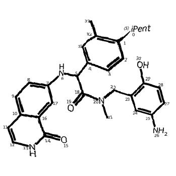 CCC[C@H](C)c1ccc(C(Nc2ccc3cc[nH]c(=O)c3c2)C(=O)N(C)Cc2cc(N)ccc2O)cc1C